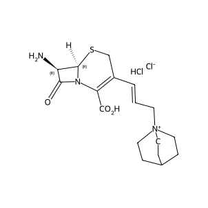 Cl.N[C@@H]1C(=O)N2C(C(=O)O)=C(C=CC[N+]34CCC(CC3)CC4)CS[C@H]12.[Cl-]